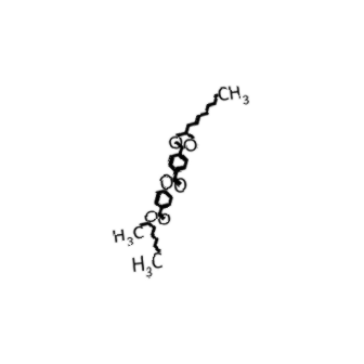 CCCCCCCCC1COC(c2ccc(C(=O)Oc3ccc(C(=O)OC(CC)CCCCCC)cc3)cc2)OC1